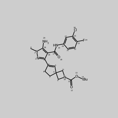 Cn1nc(C2=CC3(CC2)CN(C(=O)OC(C)(C)C)C3)c(C(=O)Nc2ccc(F)c(Cl)c2)c1N